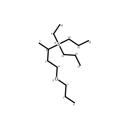 CCCOCCC(C)S(CC)(CCC)CCC